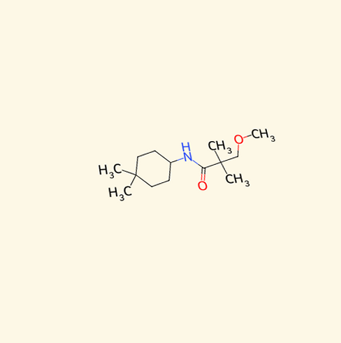 COCC(C)(C)C(=O)NC1CCC(C)(C)CC1